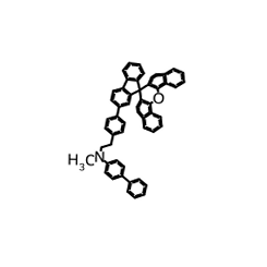 CN(CCc1ccc(-c2ccc3c(c2)C2(c4ccccc4-3)c3ccc4ccccc4c3Oc3c2ccc2ccccc32)cc1)c1ccc(-c2ccccc2)cc1